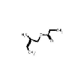 [CH2]C=C(C)COC(=O)CC